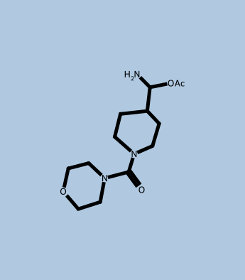 CC(=O)OC(N)C1CCN(C(=O)N2CCOCC2)CC1